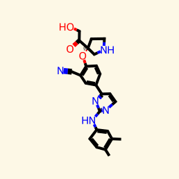 Cc1ccc(Nc2nccc(-c3ccc(O[C@]4(C(=O)CO)CCNC4)c(C#N)c3)n2)cc1C